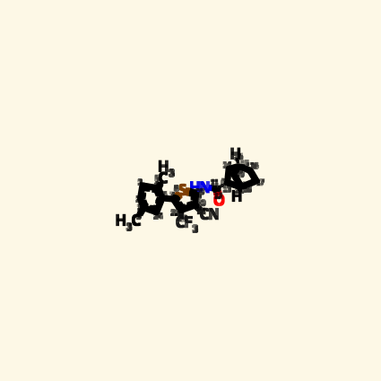 Cc1ccc(C)c(-c2sc(NC(=O)[C@@H]3C[C@H]4CC[C@H]3C4)c(C#N)c2C(F)(F)F)c1